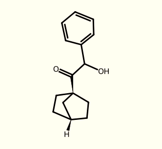 O=C(C(O)c1ccccc1)[C@]12CC[C@H](CC1)C2